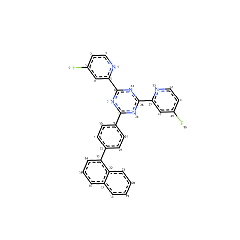 Fc1ccnc(-c2nc(-c3ccc(-c4cccc5ccccc45)cc3)nc(-c3cc(F)ccn3)n2)c1